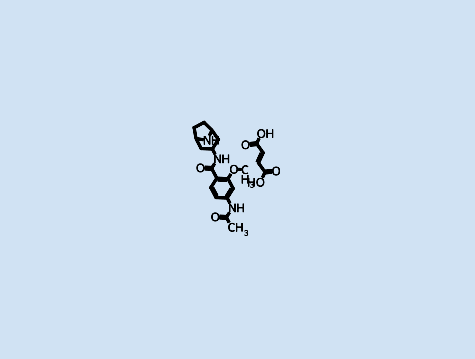 COc1cc(NC(C)=O)ccc1C(=O)NC1CC2CCC(C1)N2.O=C(O)/C=C/C(=O)O